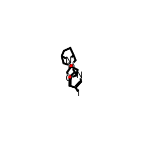 Ic1ccc(N2CC3CCC(C2)N3[C@@H]2CCOC2)nc1